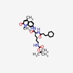 Cc1cc(=O)n(C)c2cc(NC(=O)[C@H](CCCCNC(=O)OC(C)(C)C)NC(=O)CCC3CCCCC3)ccc12